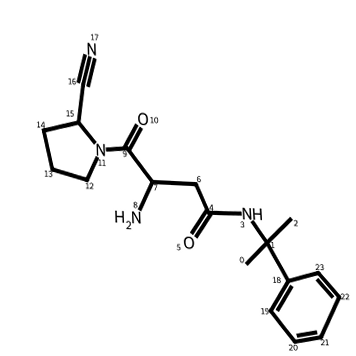 CC(C)(NC(=O)CC(N)C(=O)N1CCCC1C#N)c1ccccc1